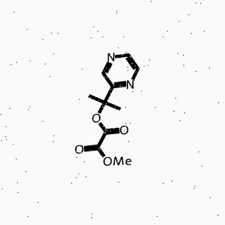 COC(=O)C(=O)OC(C)(C)c1cnccn1